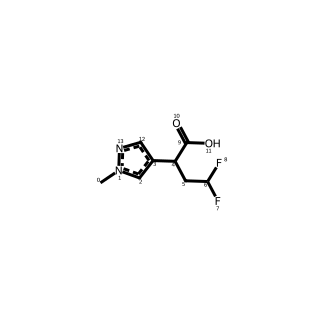 Cn1cc(C(CC(F)F)C(=O)O)cn1